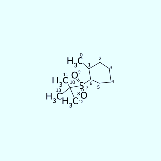 CC1CCCCC1S(=O)(=O)C(C)(C)C